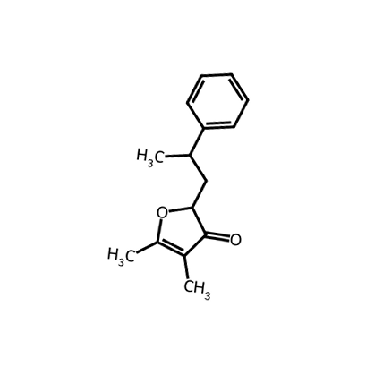 CC1=C(C)C(=O)C(CC(C)c2ccccc2)O1